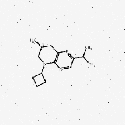 CC(C)c1cnc2c(n1)C[C@H](C)CN2C1CCC1